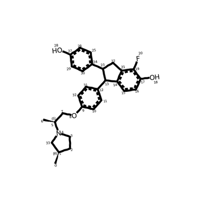 C[C@@H]1CCN([C@@H](C)COc2ccc(C3c4ccc(O)c(F)c4CC3c3ccc(O)cc3)cc2)C1